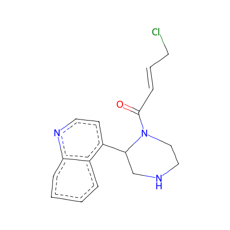 O=C(C=CCCl)N1CCNCC1c1ccnc2ccccc12